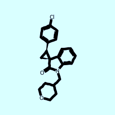 O=C1N(CC2CCOCC2)c2ccccc2[C@]12C[C@H]2c1ccc(Cl)cc1